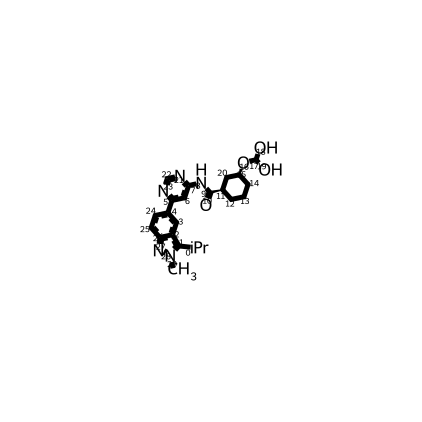 CC(C)c1c2cc(-c3cc(NC(=O)[C@@H]4CCC[C@H](OC(O)O)C4)ncn3)ccc2nn1C